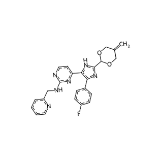 C=C1COC(c2nc(-c3ccc(F)cc3)c(-c3ccnc(NCc4ccccn4)n3)[nH]2)OC1